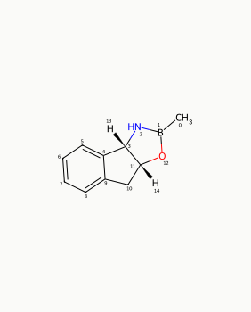 CB1N[C@H]2c3ccccc3C[C@H]2O1